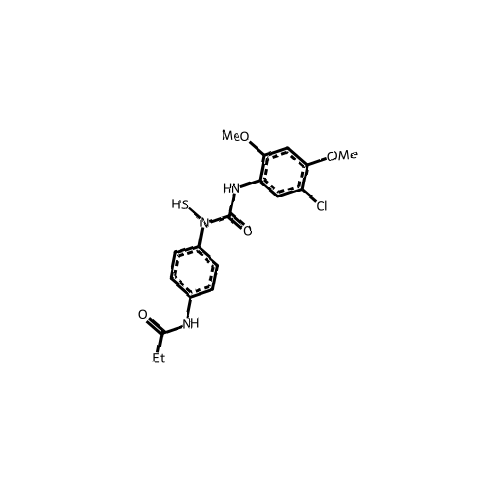 CCC(=O)Nc1ccc(N(S)C(=O)Nc2cc(Cl)c(OC)cc2OC)cc1